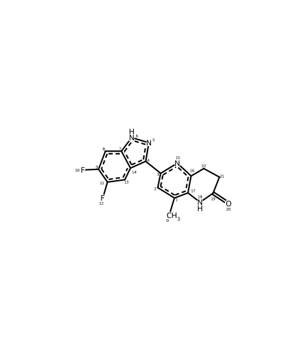 Cc1cc(-c2n[nH]c3cc(F)c(F)cc23)nc2c1NC(=O)CC2